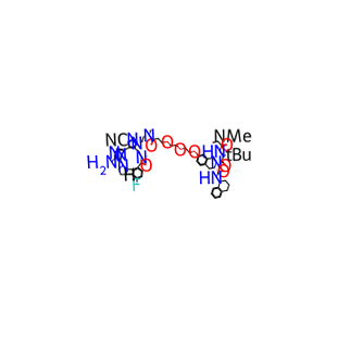 CN[C@@H](C)C(=O)N[C@H](C(=O)N1Cc2cc(OCCOCCOCCC(=O)N(C)CCn3nc(C#N)c4c3CN(C)C(=O)c3ccc(F)cc3[C@H]3CCCN3c3nc-4cnc3N)ccc2C[C@H]1C(=O)N[C@@H]1CCCc2ccccc21)C(C)(C)C